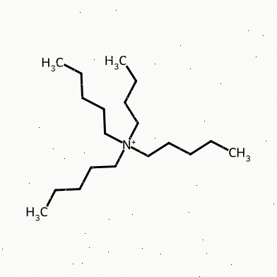 CCCCC[N+](CCCC)(CCCCC)CCCCC